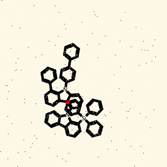 c1ccc(-c2ccc(-n3c4cccc(-n5c6ccccc6c6cccc([Si](c7ccccc7)(c7ccccc7)c7ccccc7)c65)c4c4cccc(-c5ccccc5)c43)cc2)cc1